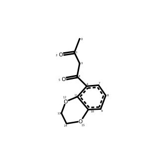 CC(=O)CC(=O)c1cccc2c1OCCO2